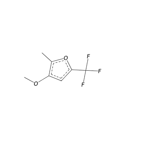 COc1cc(C(F)(F)F)oc1C